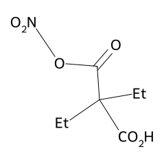 CCC(CC)(C(=O)O)C(=O)O[N+](=O)[O-]